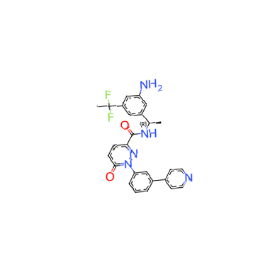 C[C@@H](NC(=O)c1ccc(=O)n(-c2cccc(-c3ccncc3)c2)n1)c1cc(N)cc(C(C)(F)F)c1